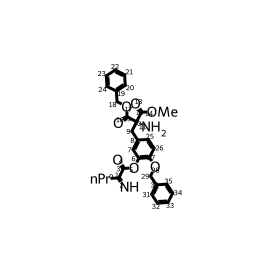 CCCC(=N)C(=O)Oc1cc(C[C@](N)(C(=O)OC)C(=O)OCc2ccccc2)ccc1OCc1ccccc1